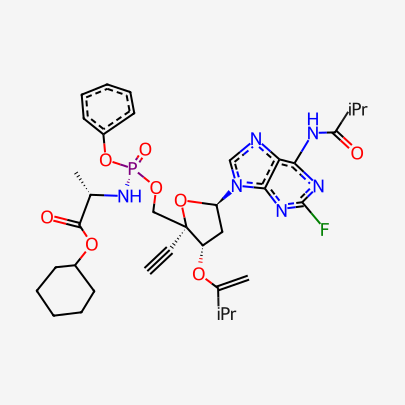 C#C[C@]1(CO[P@@](=O)(N[C@@H](C)C(=O)OC2CCCCC2)Oc2ccccc2)O[C@@H](n2cnc3c(NC(=O)C(C)C)nc(F)nc32)C[C@@H]1OC(=C)C(C)C